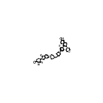 O=C1CC[C@H](N2Cc3cc(N4CCN(CC5CCN(c6ccc([C@H]7c8ccc(O)cc8CC[C@H]7C7CCOCC7)c(F)c6)CC5)CC4)ccc3C2=O)C(=O)N1